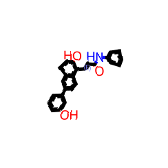 O=C(/C=C/c1c(O)ccc2cc(-c3cccc(O)c3)ccc12)Nc1ccccc1